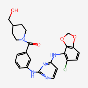 O=C(c1cccc(Nc2nccc(Nc3c(Cl)ccc4c3OCO4)n2)c1)N1CCC(CO)CC1